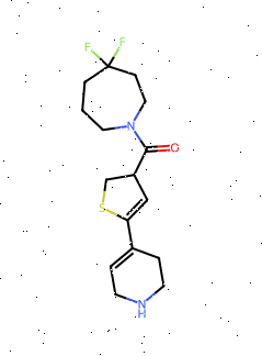 O=C(C1C=C(C2=CCNCC2)SC1)N1CCCC(F)(F)CC1